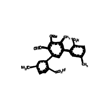 COc1c(C)c(-c2cc(C)ccc2S(=O)(=O)O)cc(-c2cc(C)ccc2S(=O)(=O)O)c1C=O